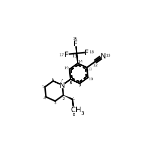 CC[C@H]1CCCCN1c1ccc(C#N)c(C(F)(F)F)c1